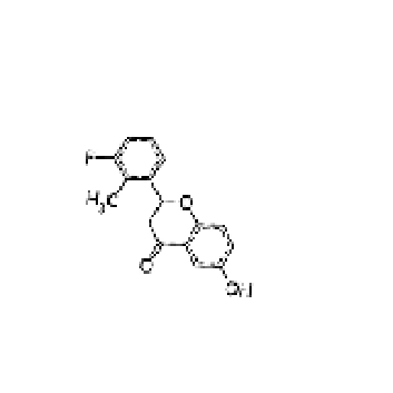 Cc1c(F)cccc1C1CC(=O)c2cc(O)ccc2O1